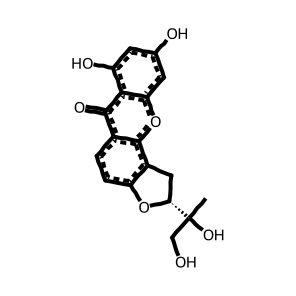 CC(O)(CO)[C@H]1Cc2c(ccc3c(=O)c4c(O)cc(O)cc4oc23)O1